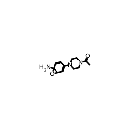 CC(=O)N1CCN(C2=CC3OC3(N)C=C2)CC1